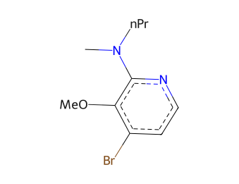 CCCN(C)c1nccc(Br)c1OC